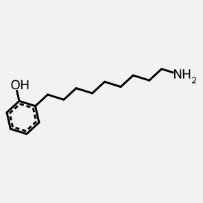 NCCCCCCCCCc1ccccc1O